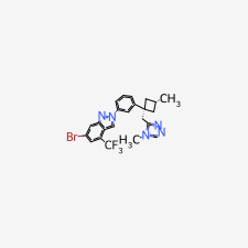 Cn1cnnc1C[C@]1(c2cccc(-n3cc4c(C(F)(F)F)cc(Br)cc4n3)c2)C[C@H](C)C1